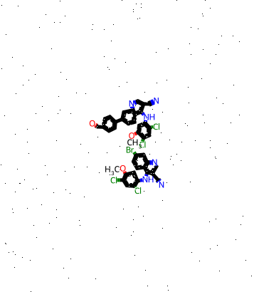 COc1cc(Nc2c(C#N)cnc3cc(-c4ccc(C=O)cc4)ccc23)c(Cl)cc1Cl.COc1cc(Nc2c(C#N)cnc3cc(Br)ccc23)c(Cl)cc1Cl